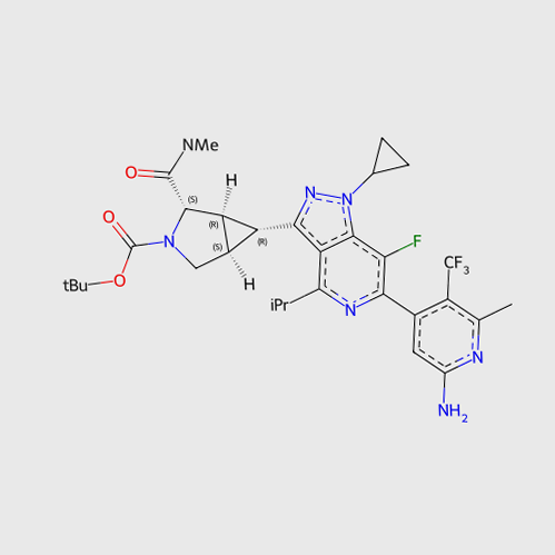 CNC(=O)[C@@H]1[C@@H]2[C@H](CN1C(=O)OC(C)(C)C)[C@H]2c1nn(C2CC2)c2c(F)c(-c3cc(N)nc(C)c3C(F)(F)F)nc(C(C)C)c12